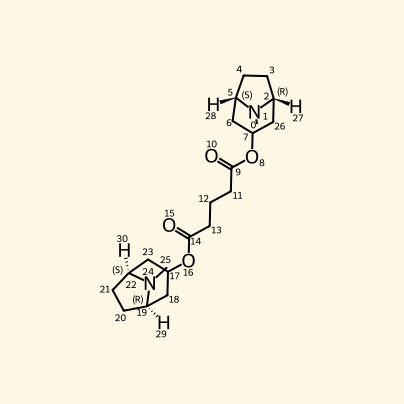 CN1[C@@H]2CC[C@H]1CC(OC(=O)CCCC(=O)OC1C[C@H]3CC[C@@H](C1)N3C)C2